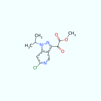 COC(=O)C(=O)c1nn(C(C)C)c2cc(Cl)ncc12